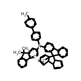 Cc1ccc(-c2ccc(N(c3ccc4c(c3)C(C)(C)c3ccccc3-4)c3ccc4c(c3)C3(c5ccccc5-4)C4C=CC=CC4C4C=CC=CC43C)cc2)cc1